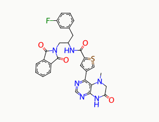 CN1CC(=O)Nc2ncnc(-c3csc(C(=O)NC(Cc4cccc(F)c4)CN4C(=O)c5ccccc5C4=O)c3)c21